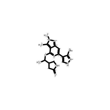 Cc1c2c(OC(C)C3CNC(=O)C3)nc(-c3c[nH]nc3C(C)(C)C)cc2nn1C